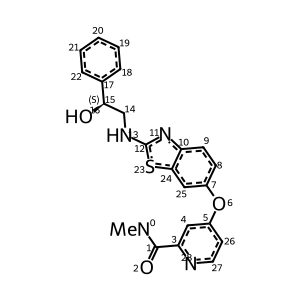 CNC(=O)c1cc(Oc2ccc3nc(NC[C@@H](O)c4ccccc4)sc3c2)ccn1